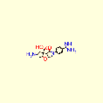 CC(=O)C(CCN)(C(=O)O)C1CCN(c2ccc(C(=N)N)cc2)C1=O